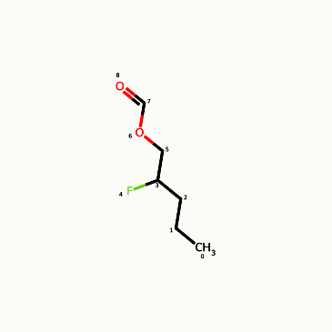 CCCC(F)COC=O